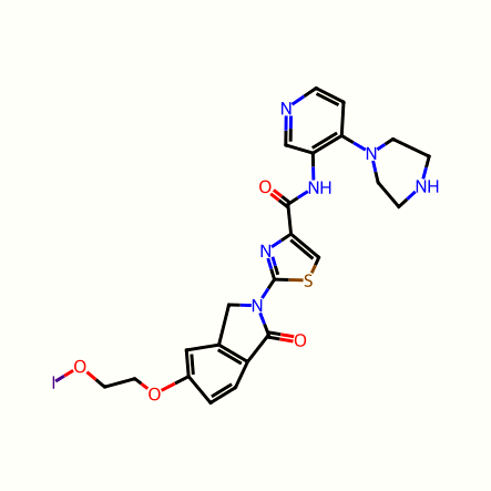 O=C(Nc1cnccc1N1CCNCC1)c1csc(N2Cc3cc(OCCOI)ccc3C2=O)n1